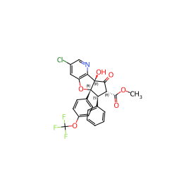 COC(=O)[C@H]1C(=O)[C@@]2(O)c3ncc(Cl)cc3O[C@@]2(c2ccc(OC(F)(F)F)cc2)[C@@H]1c1ccccc1